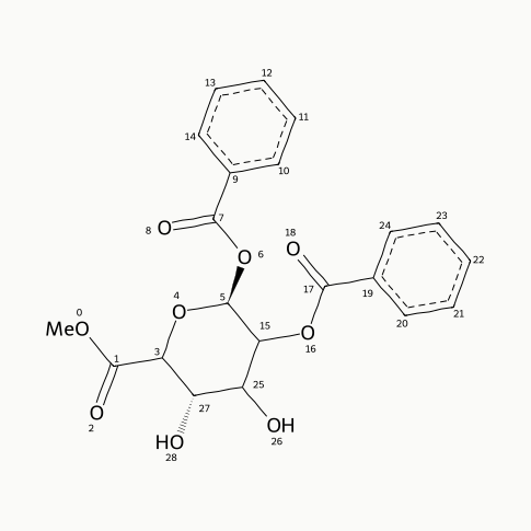 COC(=O)C1O[C@@H](OC(=O)c2ccccc2)C(OC(=O)c2ccccc2)C(O)[C@@H]1O